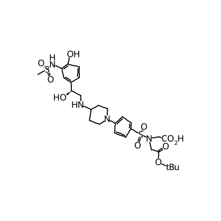 CC(C)(C)OC(=O)CN(CC(=O)O)S(=O)(=O)c1ccc(N2CCC(NC[C@@H](O)c3ccc(O)c(NS(C)(=O)=O)c3)CC2)cc1